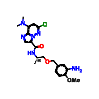 COc1ccc(COC[C@H](C)NC(=O)c2cnc3c(N(C)C)cc(Cl)nn23)cc1N